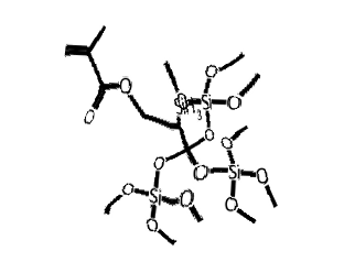 C=C(C)C(=O)OCC([SiH3])C(O[Si](OC)(OC)OC)(O[Si](OC)(OC)OC)O[Si](OC)(OC)OC